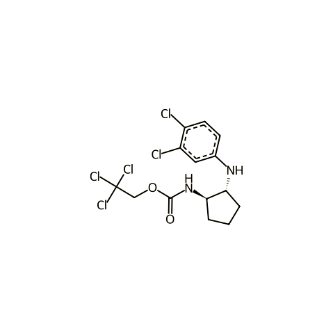 O=C(N[C@@H]1CCC[C@H]1Nc1ccc(Cl)c(Cl)c1)OCC(Cl)(Cl)Cl